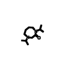 CC(C)N1CCCCN(C(C)C)C(=O)C1